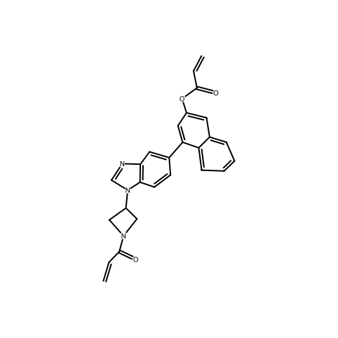 C=CC(=O)Oc1cc(-c2ccc3c(c2)ncn3C2CN(C(=O)C=C)C2)c2ccccc2c1